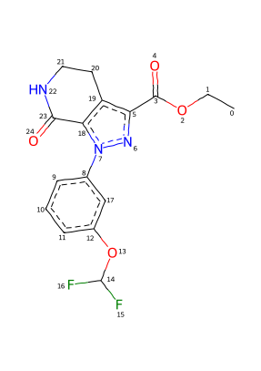 CCOC(=O)c1nn(-c2cccc(OC(F)F)c2)c2c1CCNC2=O